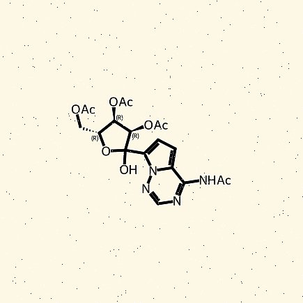 CC(=O)Nc1ncnn2c(C3(O)O[C@H](COC(C)=O)[C@@H](OC(C)=O)[C@H]3OC(C)=O)ccc12